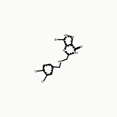 O=c1[nH]c(CNCc2ccc(Cl)c(Cl)c2)nc2c(Br)[nH]nc12